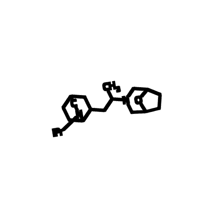 CC(CC1CC2CCC1N(C(C)C)C2)N1CC2CCC(C1)O2